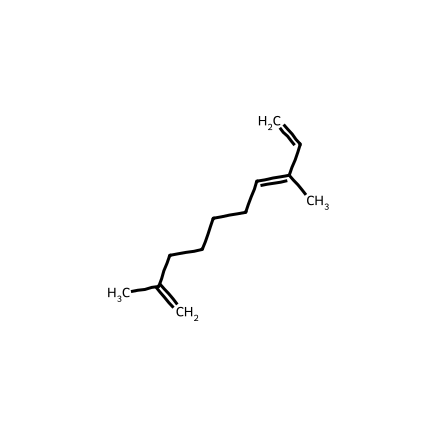 C=CC(C)=CCCCCC(=C)C